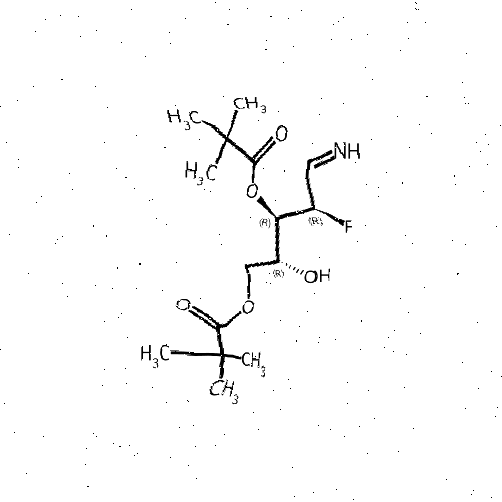 CC(C)(C)C(=O)OC[C@@H](O)[C@@H](OC(=O)C(C)(C)C)[C@H](F)C=N